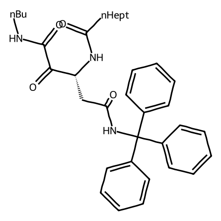 CCCCCCCC(=O)N[C@H](CC(=O)NC(c1ccccc1)(c1ccccc1)c1ccccc1)C(=O)C(=O)NCCCC